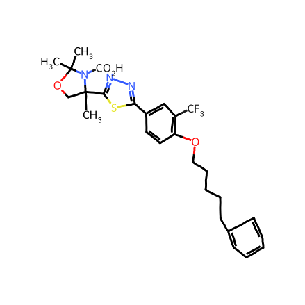 CC1(C)OCC(C)(c2nnc(-c3ccc(OCCCCCc4ccccc4)c(C(F)(F)F)c3)s2)N1C(=O)O